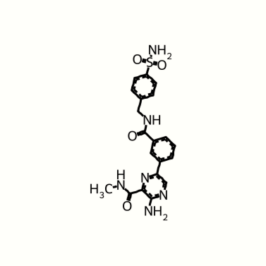 CNC(=O)c1nc(-c2cccc(C(=O)NCc3ccc(S(N)(=O)=O)cc3)c2)cnc1N